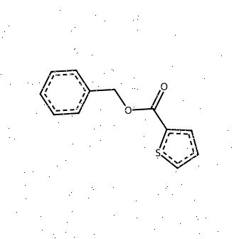 O=C(OCc1ccccc1)c1cccs1